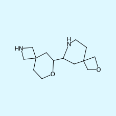 C1CC2(COC2)CC(C2CC3(CCO2)CNC3)N1